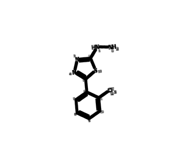 NNc1nnc(-c2ccccc2C(F)(F)F)s1